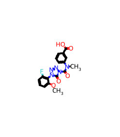 COc1cccc(F)c1-n1nnn(C(=O)N(C)c2cccc(C(=O)O)c2)c1=O